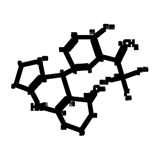 C=C(c1cc(C2C3=C(CCS3)NC3=C2C(=O)CCC3)ccc1F)C(F)(F)F